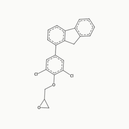 Clc1cc(-c2cccc3c2Cc2ccccc2-3)cc(Cl)c1OCC1CO1